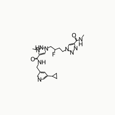 CNC(=O)c1cn(CCC(F)CN2C=C(C(=O)NCc3cncc(C4CC4)c3)N(C)N2)nn1